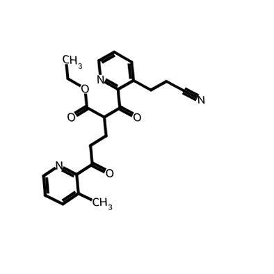 CCOC(=O)C(CCC(=O)c1ncccc1C)C(=O)c1ncccc1CCC#N